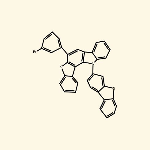 Brc1cccc(-c2cc3c4ccccc4n(-c4ccc5c(c4)sc4ccccc45)c3c3c2sc2ccccc23)c1